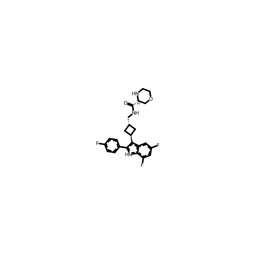 O=C(NC[C@H]1C[C@H](c2c(-c3ccc(F)cc3)[nH]c3c(F)cc(F)cc32)C1)[C@H]1COCCN1